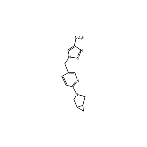 O=C(O)c1cn(Cc2ccc(N3CC4CC4C3)nc2)nn1